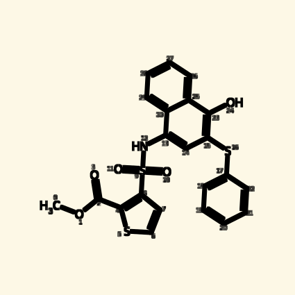 COC(=O)c1sccc1S(=O)(=O)Nc1cc(Sc2ccccc2)c(O)c2ccccc12